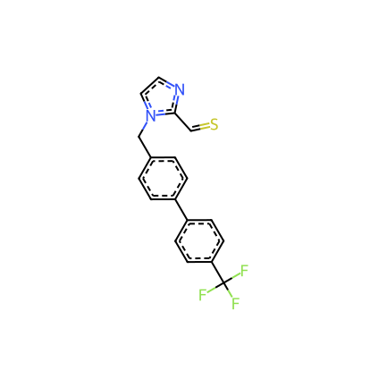 FC(F)(F)c1ccc(-c2ccc(Cn3ccnc3C=S)cc2)cc1